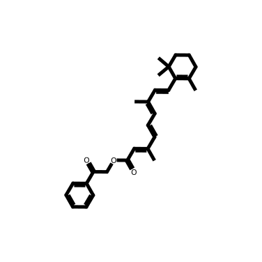 CC(C=CC1=C(C)CCCC1(C)C)=CC=CC(C)=CC(=O)OCC(=O)c1ccccc1